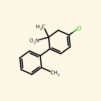 Cc1ccccc1C1=CC=C(Cl)CC1(C)[N+](=O)[O-]